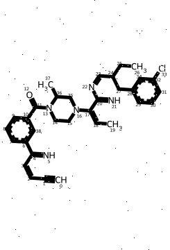 C#C/C=C\C(=N)c1cccc(C(=O)N2CCN(C(=CC)C(=N)/N=C\C(CC)Cc3cccc(Cl)c3)CC2C)c1